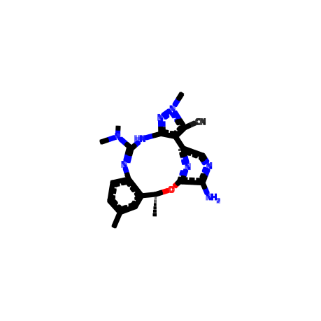 Cc1ccc2c(c1)[C@@H](C)Oc1nc(cnc1N)-c1c(nn(C)c1C#N)N/C(N(C)C)=N\2